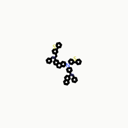 C(=C(\Cc1ccc2sc3ccccc3c2c1)c1ccc2c(c1)-c1ccc(N(c3ccc(/C(=C/c4ccccc4)c4ccc5ccccc5c4)cc3)c3ccc4sc5ccccc5c4c3)cc1CC2)/c1ccccc1